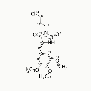 COc1cc(/C=C2\NC(=O)N(CCCCl)C2=O)cc(OC)c1OC